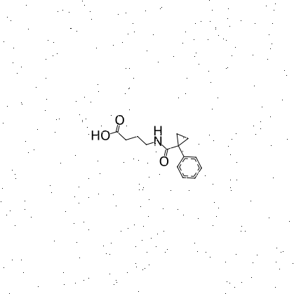 O=C(O)CCCNC(=O)C1(c2ccccc2)CC1